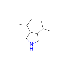 CC(C)C1CNCC1C(C)C